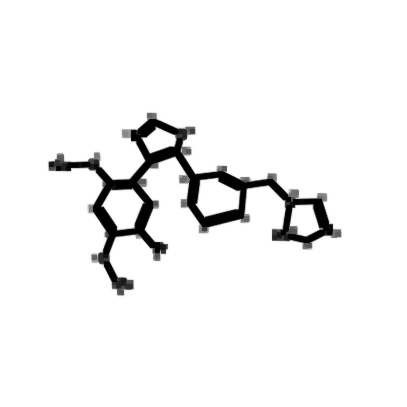 CCCCOc1cc(OCCCC)c(C(C)C)cc1-c1ncoc1-c1cccc(CN2C=NCN2)c1